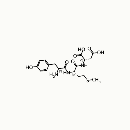 CSCC[C@H](NC(=O)[C@@H](N)Cc1ccc(O)cc1)C(=O)N[C@@H](CC(=O)O)C(=O)O